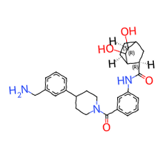 NCc1cccc(C2CCN(C(=O)c3cccc(NC(=O)[C@@H]4CC5CCC4[C@@H](O)[C@H]5O)c3)CC2)c1